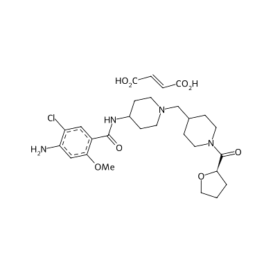 COc1cc(N)c(Cl)cc1C(=O)NC1CCN(CC2CCN(C(=O)[C@H]3CCCO3)CC2)CC1.O=C(O)C=CC(=O)O